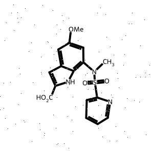 COc1cc(N(C)S(=O)(=O)c2ccccn2)c2[nH]c(C(=O)O)cc2c1